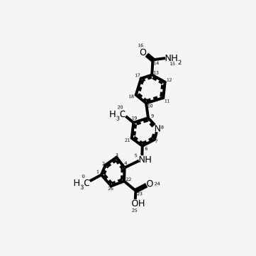 Cc1ccc(Nc2cnc(-c3ccc(C(N)=O)cc3)c(C)c2)c(C(=O)O)c1